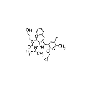 Cc1nc(OCC2CC2)c(-c2nc3c(c(=O)n(CCCO)c(=O)n3C(C)C)n2Cc2ccccc2)cc1F